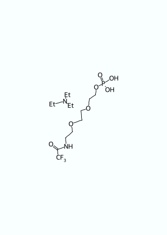 CCN(CC)CC.O=C(NCCOCCOCCOP(=O)(O)O)C(F)(F)F